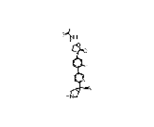 CC(=S)NC[C@H]1CN(c2ccc(-c3ccc(C4(C#N)C5CNCC54)nc3)c(F)c2)C(=O)O1